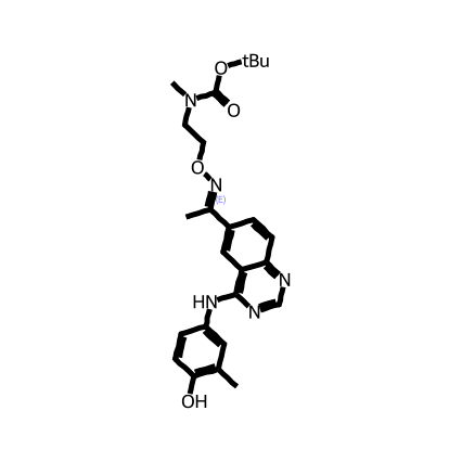 C/C(=N\OCCN(C)C(=O)OC(C)(C)C)c1ccc2ncnc(Nc3ccc(O)c(C)c3)c2c1